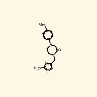 COc1ccc(N2CCN(Cc3csc(C)n3)CC2)cc1.Cl